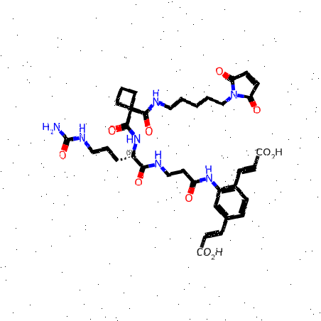 NC(=O)NCCC[C@H](NC(=O)C1(C(=O)NCCCCCN2C(=O)C=CC2=O)CCC1)C(=O)NCCC(=O)Nc1cc(C=CC(=O)O)ccc1C=CC(=O)O